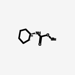 CC(C)(C)OC(=O)N[C@@H]1[CH]CCCC1